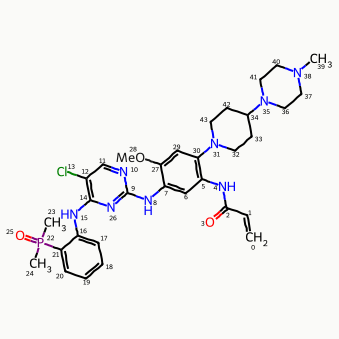 C=CC(=O)Nc1cc(Nc2ncc(Cl)c(Nc3ccccc3P(C)(C)=O)n2)c(OC)cc1N1CCC(N2CCN(C)CC2)CC1